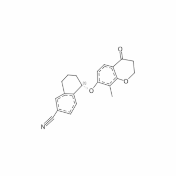 Cc1c(O[C@H]2CCCc3cc(C#N)ccc32)ccc2c1OCCC2=O